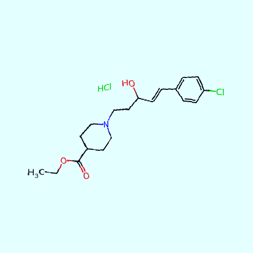 CCOC(=O)C1CCN(CCC(O)C=Cc2ccc(Cl)cc2)CC1.Cl